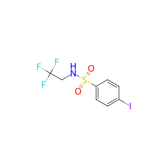 O=S(=O)(NCC(F)(F)F)c1ccc(I)cc1